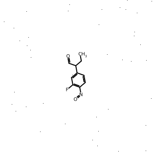 CCC(C=O)c1ccc(N=O)c(F)c1